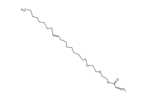 C=CC(=O)OCCOCCOCCCCCCCCC=CCCCCCCCC